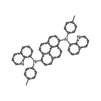 Cc1ccc(N(c2ccc3ccc4c(N(c5ccc(C)cc5)c5cccc6cccnc56)ccc5ccc2c3c54)c2cccc3cccnc23)cc1